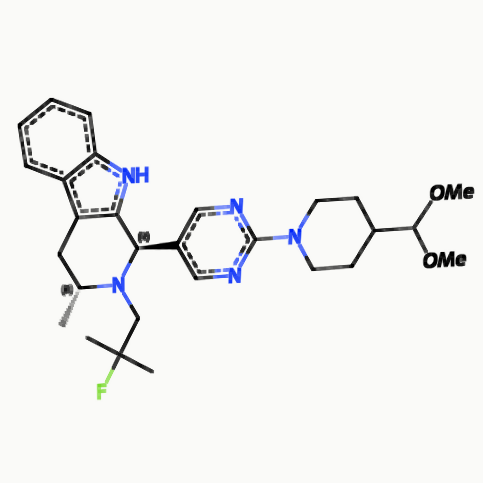 COC(OC)C1CCN(c2ncc([C@@H]3c4[nH]c5ccccc5c4C[C@@H](C)N3CC(C)(C)F)cn2)CC1